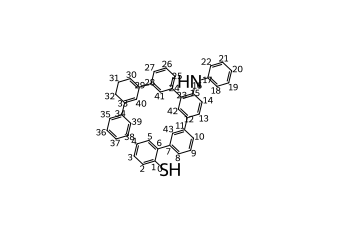 Sc1ccccc1-c1cccc(-c2ccc(Nc3ccccc3)c(-c3cccc(C4=CCCC(c5ccccc5)=C4)c3)c2)c1